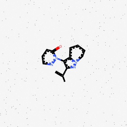 C=C(C)c1nn2ccccc2c1-n1ncccc1=O